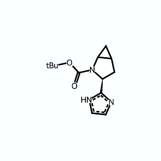 CC(C)(C)OC(=O)N1C2CC2C[C@H]1c1ncc[nH]1